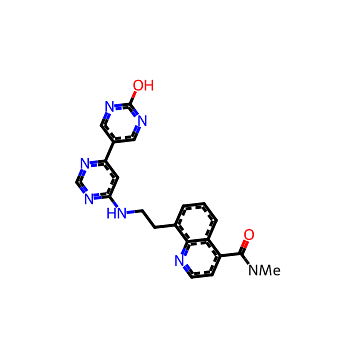 CNC(=O)c1ccnc2c(CCNc3cc(-c4cnc(O)nc4)ncn3)cccc12